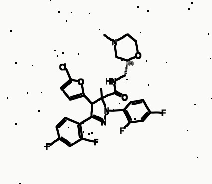 CN1CCO[C@H](CNC(=O)C2(C)C(c3ccc(Cl)o3)C(c3ccc(F)cc3F)=NN2c2ccc(F)cc2F)C1